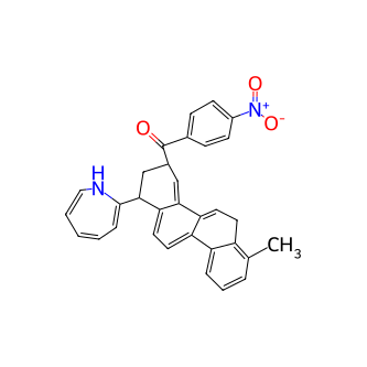 Cc1cccc2c1CC=c1c-2ccc2c1=CC(C(=O)c1ccc([N+](=O)[O-])cc1)CC2C1=CC=CC=CN1